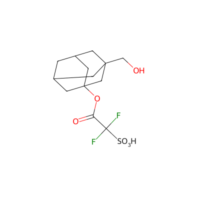 O=C(OC12CC3CC(CC(CO)(C3)C1)C2)C(F)(F)S(=O)(=O)O